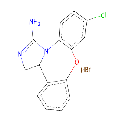 Br.NC1=NCC2c3ccccc3Oc3cc(Cl)ccc3N12